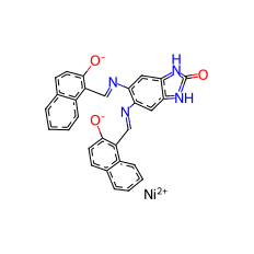 O=c1[nH]c2cc(N=Cc3c([O-])ccc4ccccc34)c(N=Cc3c([O-])ccc4ccccc34)cc2[nH]1.[Ni+2]